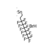 Br.FC(F)(F)C(F)(F)C(F)(F)C(F)(F)C(F)(F)C(F)(F)C[CH2][Sn]